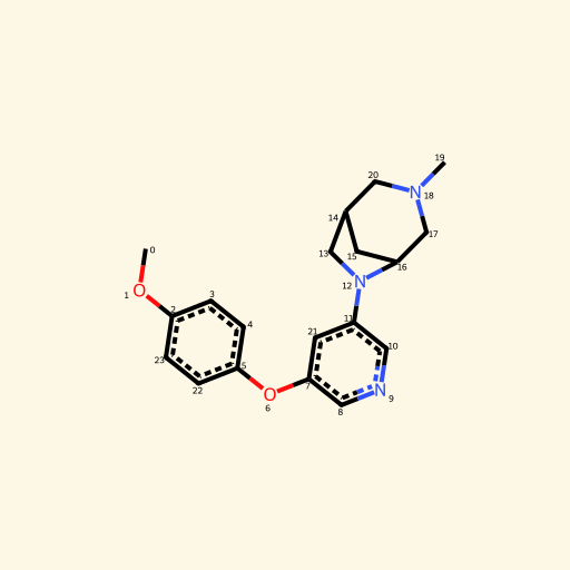 COc1ccc(Oc2cncc(N3CC4CC3CN(C)C4)c2)cc1